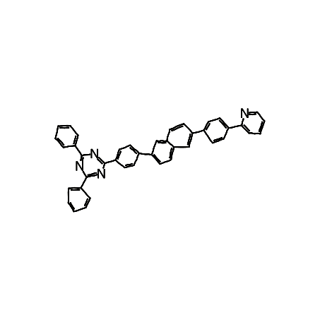 c1ccc(-c2nc(-c3ccccc3)nc(-c3ccc(-c4ccc5cc(-c6ccc(-c7ccccn7)cc6)ccc5c4)cc3)n2)cc1